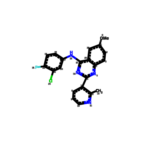 COc1ccc2nc(-c3cccnc3C)nc(Nc3ccc(F)c(Cl)c3)c2c1